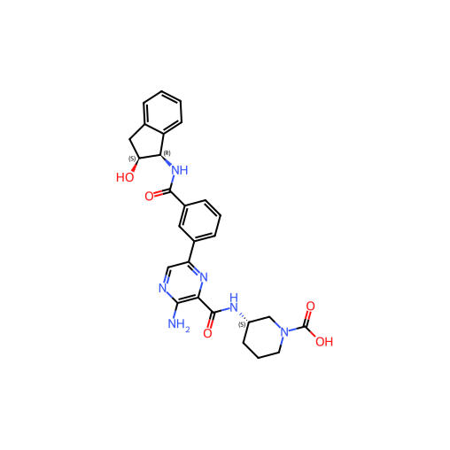 Nc1ncc(-c2cccc(C(=O)N[C@@H]3c4ccccc4C[C@@H]3O)c2)nc1C(=O)N[C@H]1CCCN(C(=O)O)C1